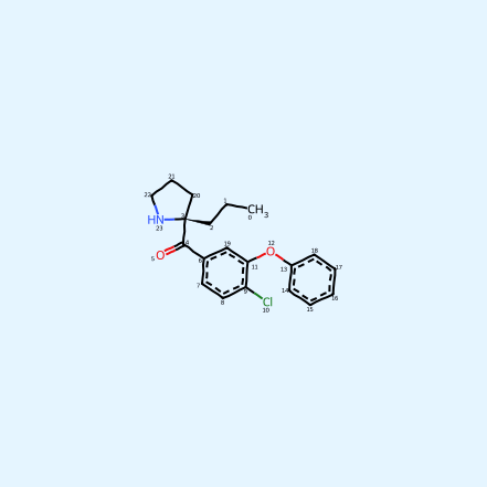 CCC[C@]1(C(=O)c2ccc(Cl)c(Oc3ccccc3)c2)CCCN1